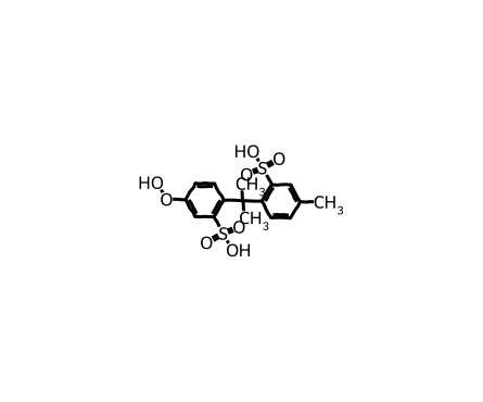 Cc1ccc(C(C)(C)c2ccc(OO)cc2S(=O)(=O)O)c(S(=O)(=O)O)c1